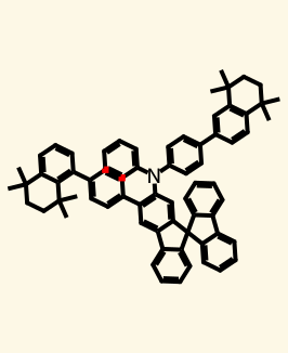 CC1(C)CCC(C)(C)c2cc(-c3ccc(N(c4ccccc4)c4cc5c(cc4-c4ccc(-c6cccc7c6C(C)(C)CCC7(C)C)cc4)-c4ccccc4C54c5ccccc5-c5ccccc54)cc3)ccc21